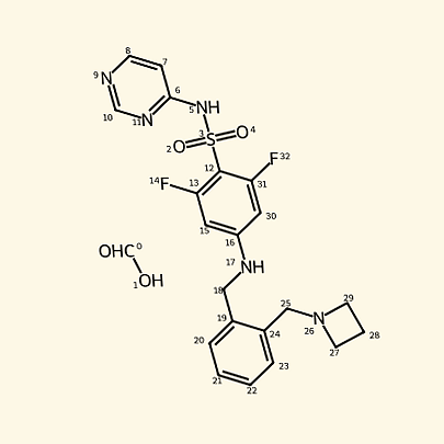 O=CO.O=S(=O)(Nc1ccncn1)c1c(F)cc(NCc2ccccc2CN2CCC2)cc1F